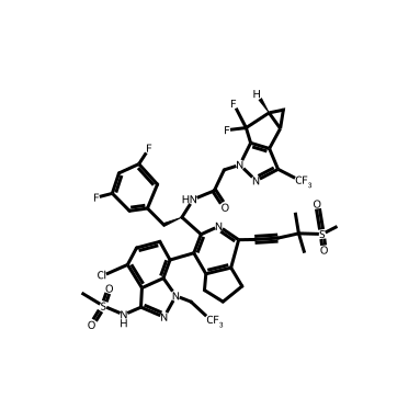 CC(C)(C#Cc1nc([C@@H](Cc2cc(F)cc(F)c2)NC(=O)Cn2nc(C(F)(F)F)c3c2C(F)(F)[C@@H]2CC32)c(-c2ccc(Cl)c3c(NS(C)(=O)=O)nn(CC(F)(F)F)c23)c2c1CCC2)S(C)(=O)=O